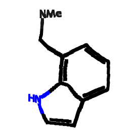 CNCc1cccc2cc[nH]c12